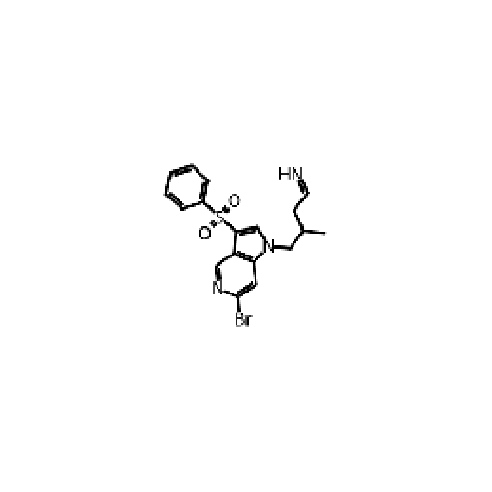 CC(CC=N)Cn1cc(S(=O)(=O)c2ccccc2)c2cnc(Br)cc21